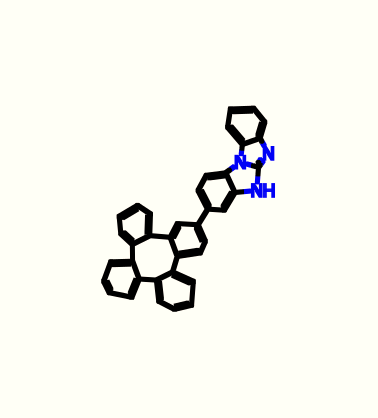 c1ccc2c(c1)-c1ccccc1-c1ccc(-c3ccc4c(c3)[nH]c3nc5ccccc5n34)cc1-c1ccccc1-2